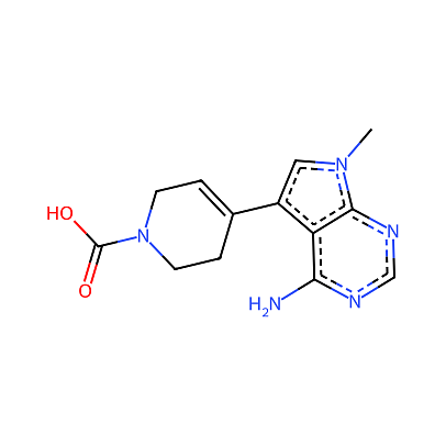 Cn1cc(C2=CCN(C(=O)O)CC2)c2c(N)ncnc21